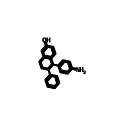 Nc1ccc([C@@H]2c3ccc(O)cc3CC[C@@H]2c2ccccc2)cc1